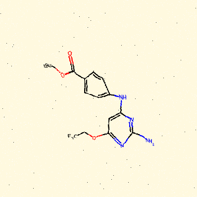 CC(C)(C)OC(=O)c1ccc(Nc2cc(OCC(F)(F)F)nc(N)n2)cc1